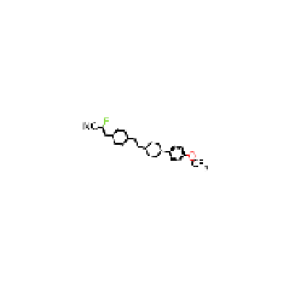 N#CC(F)=CC1CCC(CCC2CCC(c3ccc(OC(F)(F)F)cc3)CC2)CC1